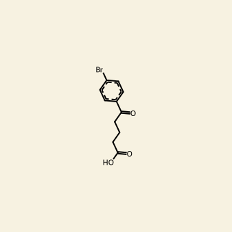 O=C(O)CCCC(=O)c1ccc(Br)cc1